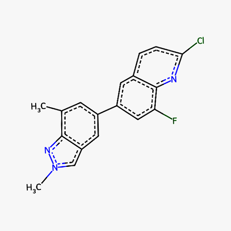 Cc1cc(-c2cc(F)c3nc(Cl)ccc3c2)cc2cn(C)nc12